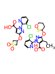 CCc1c(OC2CCCOS2)nn(-c2ncccc2Cl)c1C(=O)O.O=C(O)c1cc(OC2CS(=O)(=O)C2)nn1-c1ncccc1Cl